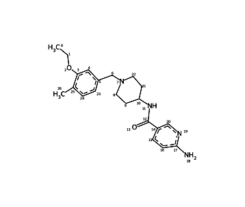 CCOc1cc(CN2CCC(NC(=O)c3ccc(N)nc3)CC2)ccc1C